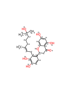 CC(=CCc1c([C@@H]2CC(=O)c3c(O)cc(O)cc3O2)ccc(O)c1O)CCCC(C)(C)O